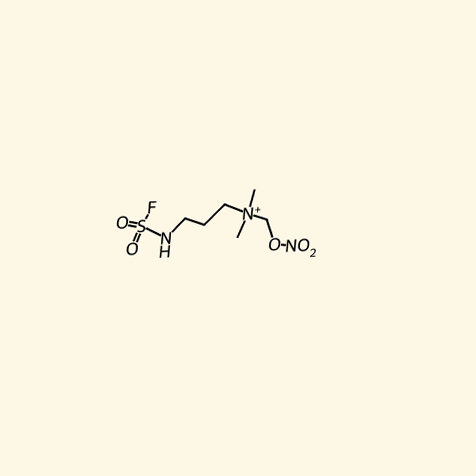 C[N+](C)(CCCNS(=O)(=O)F)CO[N+](=O)[O-]